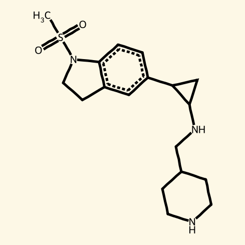 CS(=O)(=O)N1CCc2cc(C3CC3NCC3CCNCC3)ccc21